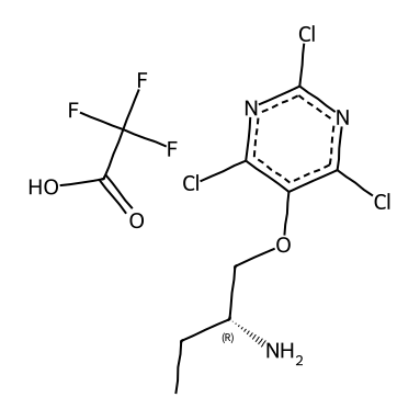 CC[C@@H](N)COc1c(Cl)nc(Cl)nc1Cl.O=C(O)C(F)(F)F